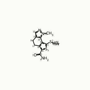 CCCSc1sc(C(N)=O)c2c1-c1c(cnn1C)CC2.Cl